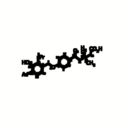 CCCc1c(COc2ccc(C(=O)CC(C)(C)CC(=O)O)cc2)ccc(C(C)=O)c1O